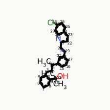 C[C@@H](CCc1ccccc1C(C)(C)O)c1cccc(/C=C/c2ccc3ccc(Cl)cc3n2)c1